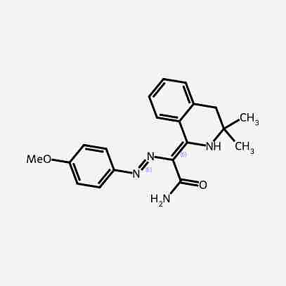 COc1ccc(/N=N/C(C(N)=O)=C2/NC(C)(C)Cc3ccccc32)cc1